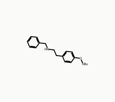 CCCCOc1ccc(CCNCc2ccccc2)cc1